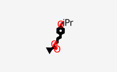 CC(C)Oc1ccc(C=CCOC(=O)C2CC2)cc1